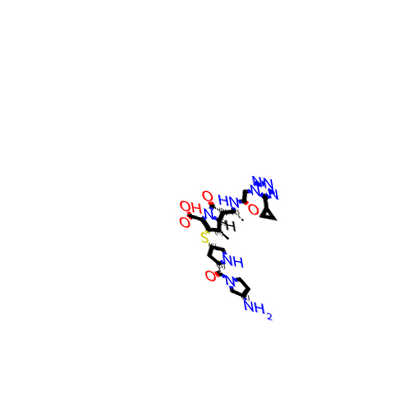 C[C@@H](NC(=O)Cn1nnnc1C1CC1)[C@H]1C(=O)N2C(C(=O)O)=C(S[C@@H]3CN[C@H](C(=O)N4CC[C@@H](N)C4)C3)[C@H](C)[C@H]12